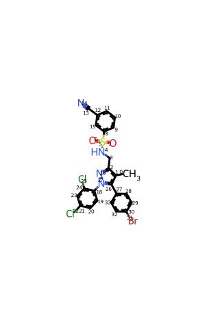 Cc1c(CNS(=O)(=O)c2cccc(C#N)c2)nn(-c2ccc(Cl)cc2Cl)c1-c1ccc(Br)cc1